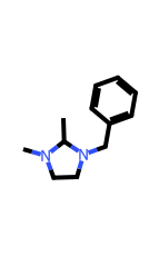 CC1N(C)CCN1Cc1ccccc1